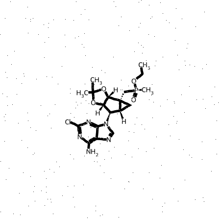 CCO[P@](C)(=O)C[C@]12C[C@@H]1[C@@H](n1cnc3c(N)nc(Cl)nc31)[C@@H]1OC(C)(C)O[C@@H]12